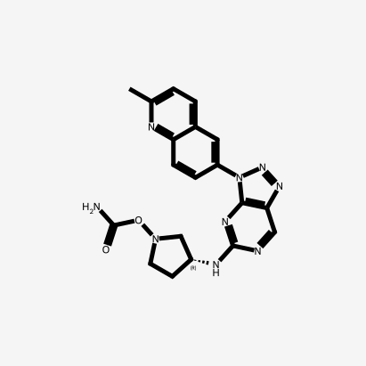 Cc1ccc2cc(-n3nnc4cnc(N[C@@H]5CCN(OC(N)=O)C5)nc43)ccc2n1